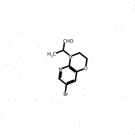 CC(C=O)N1CCOc2cc(Br)cnc21